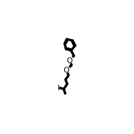 CC(I)CCCOCOCc1ccccc1